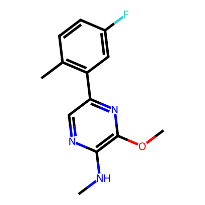 CNc1ncc(-c2cc(F)ccc2C)nc1OC